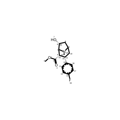 COC(=O)[C@@H]1C2[C@H](O)CC(C[C@@H]1c1ccc(F)cc1)N2C